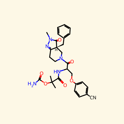 CN1N=C2CCN(C(=O)C(COc3ccc(C#N)cc3)NC(=O)C(C)(C)OC(N)=O)C[C@@]2(Cc2ccccc2)C1=O